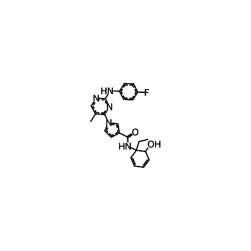 CCC1(NC(=O)c2ccn(-c3nc(Nc4ccc(F)cc4)ncc3C)c2)C=CC=CC1O